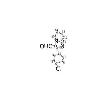 O=Cc1c(-c2ccc(Cl)cc2)nc2ccccn12